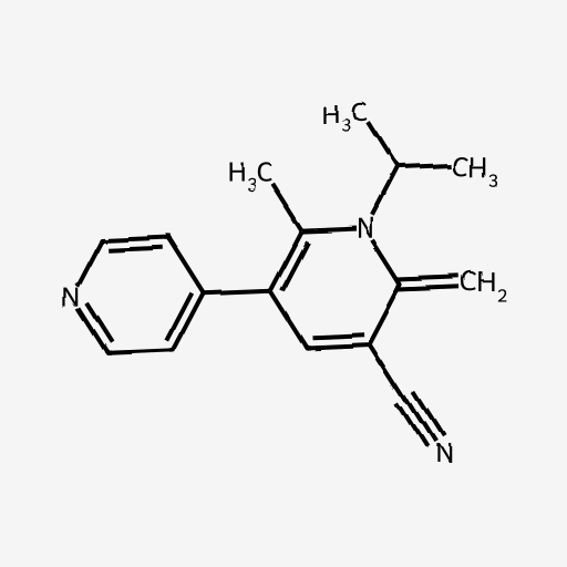 C=C1C(C#N)=CC(c2ccncc2)=C(C)N1C(C)C